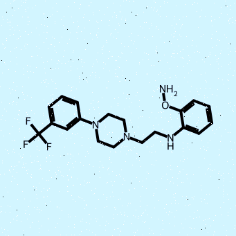 NOc1ccccc1NCCN1CCN(c2cccc(C(F)(F)F)c2)CC1